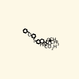 CC1(C)OCC(NC(=O)O)(C2CCc3cc(Sc4cccc(OCc5ccccc5)c4)ccc3C2)CO1